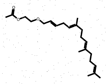 CC(=O)OCCOC/C=C/C/C=C(\C)CC/C=C(\C)CCC=C(C)C